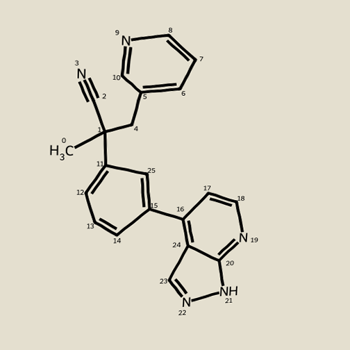 CC(C#N)(Cc1cccnc1)c1cccc(-c2ccnc3[nH]ncc23)c1